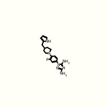 Nc1nc(N)n(-c2ccc(N3CCC(Cc4ccc[nH]4)CC3)c(F)c2)n1